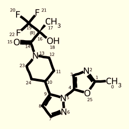 Cc1ncc(-n2nccc2C2CCN(C(=O)[C@@](C)(O)C(F)(F)F)CC2)o1